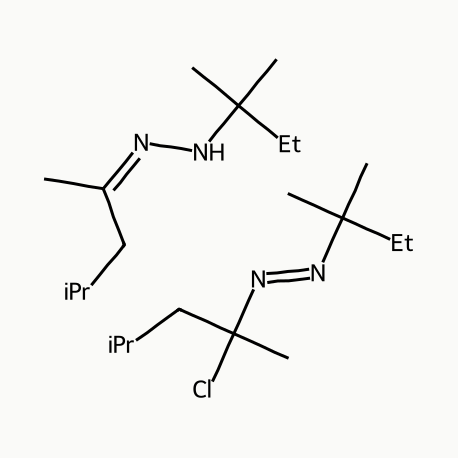 CCC(C)(C)N=NC(C)(Cl)CC(C)C.CCC(C)(C)NN=C(C)CC(C)C